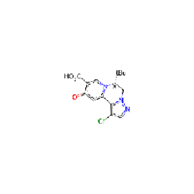 CC(C)(C)[C@@H]1Cn2ncc(Cl)c2-c2cc(=O)c(C(=O)O)cn21